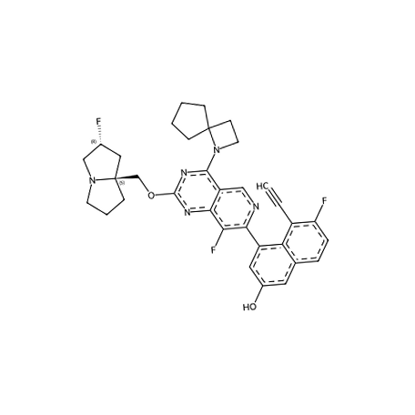 C#Cc1c(F)ccc2cc(O)cc(-c3ncc4c(N5CCC56CCCC6)nc(OC[C@@]56CCCN5C[C@H](F)C6)nc4c3F)c12